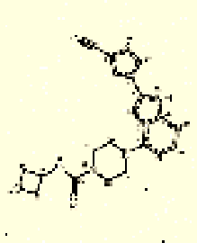 N#Cc1cc(-c2cc3c(N4CCN(C(=O)OC5COC5)CC4)ccnc3[nH]2)cs1